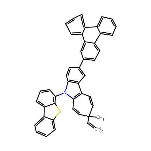 C=CC1(C)C=Cc2c(n(-c3cccc4c3sc3ccccc34)c3ccc(-c4ccc5c6ccccc6c6ccccc6c5c4)cc23)C=C1